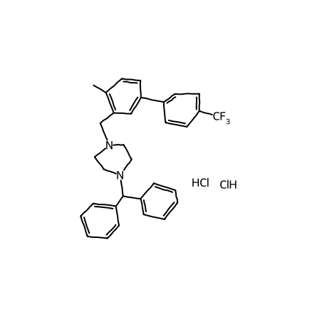 Cc1ccc(-c2ccc(C(F)(F)F)cc2)cc1CN1CCN(C(c2ccccc2)c2ccccc2)CC1.Cl.Cl